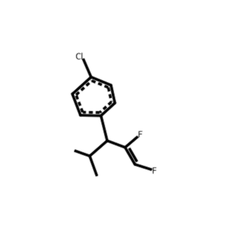 CC(C)C(C(F)=CF)c1ccc(Cl)cc1